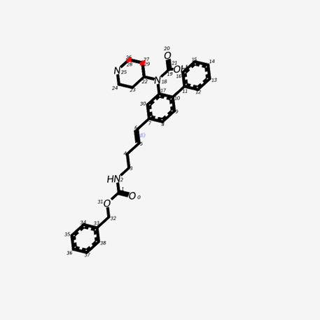 O=C(NCC/C=C/c1ccc(-c2ccccc2)c(N(C(=O)O)C23CCN(CC2)CC3)c1)OCc1ccccc1